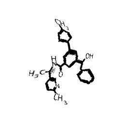 Cc1ccc(-c2cc(C(=O)N[C@H](C)c3ccc(C)nc3)cc(C(O)c3ccccc3)c2)cc1